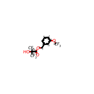 O=C(OCc1cccc(OC(F)(F)F)c1)C(O)(C(F)(F)F)C(F)(F)F